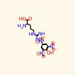 N=C(N)NCCCC(N)C(=O)O.O=[N+]([O-])c1cc([N+](=O)[O-])c(O)c([N+](=O)[O-])c1